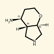 N[C@H]1CCO[C@H]2CNC[C@@H]21